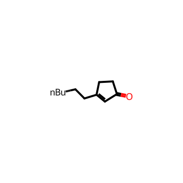 CCCCCCC1=CC(=O)CC1